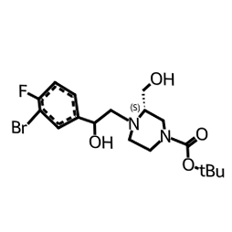 CC(C)(C)OC(=O)N1CCN(CC(O)c2ccc(F)c(Br)c2)[C@H](CO)C1